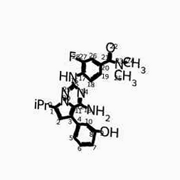 CC(C)c1cc(-c2cccc(O)c2)c2c(N)nc(Nc3ccc(C(=O)N(C)C)cc3F)nn12